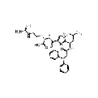 CC(C)CC(NC(=O)CC(c1ccccc1)c1ccccc1)c1nc(C(=O)N[C@@H](CCCNC(=N)N)C(=O)O)co1